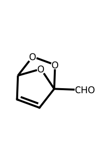 O=CC12C=CC(OO1)O2